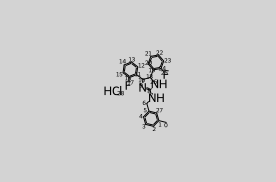 Cc1cccc(CNC2=NC(c3ccccc3F)C(c3ccccc3F)N2)c1.Cl